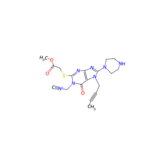 [C-]#[N+]Cn1c(SCC(=O)OC)nc2nc(N3CCNCC3)n(CC#CC)c2c1=O